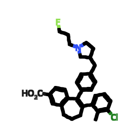 Cc1c(Cl)cccc1C1=C(c2ccc(CC3CCN(CCCF)C3)cc2)c2ccc(C(=O)O)cc2CCC1